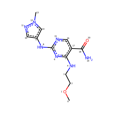 COCCNc1nc(Nc2cnn(C)c2)ncc1C(N)=O